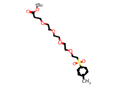 Cc1ccc(S(=O)(=O)CCOCCOCCOCCOCCC(=O)OC(C)(C)C)cc1